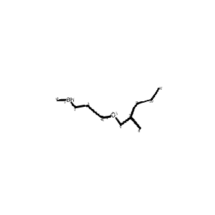 CBCCCOCC(C)CCC